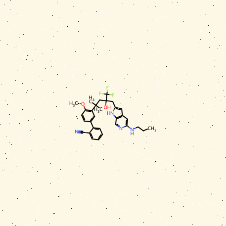 CCCNc1cc2cc(CC(O)(CC(C)(C)c3cc(-c4ccccc4C#N)ccc3OC)C(F)(F)F)[nH]c2cn1